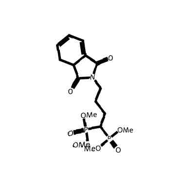 COP(=O)(OC)C(CCCN1C(=O)C2=CC=CCC2C1=O)P(=O)(OC)OC